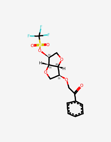 O=C(CO[C@H]1CO[C@H]2[C@@H]1OC[C@@H]2OS(=O)(=O)C(F)(F)F)c1ccccc1